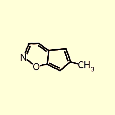 Cc1cc2ccnoc-2c1